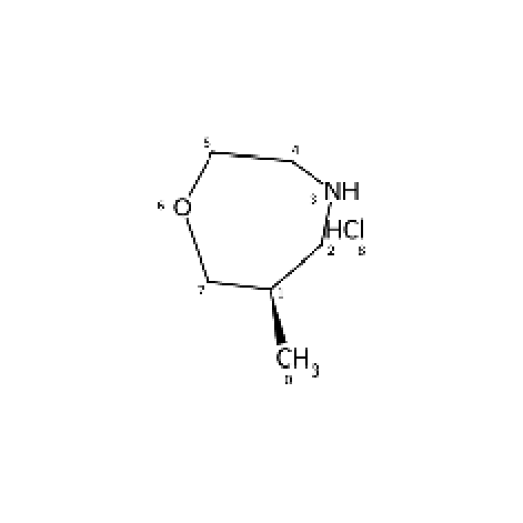 C[C@@H]1CNCCOC1.Cl